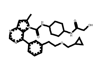 Cc1cc2ncnc(-c3cccc(CCOCC4CC4)c3)c2n1C(=O)NC1CCC(NC(=O)CO)CC1